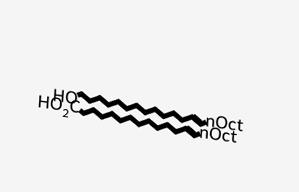 CCCCCCCCC=CCCCCCCCCCCCC(=O)O.CCCCCCCCC=CCCCCCCCCCCCCO